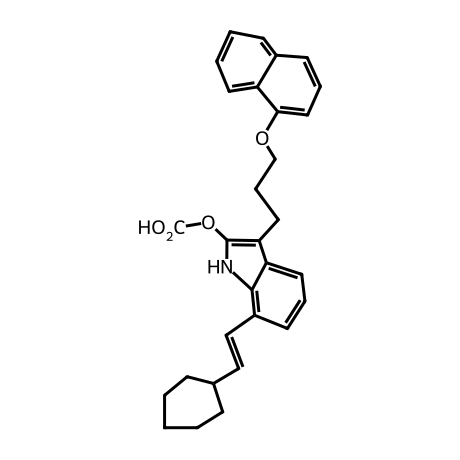 O=C(O)Oc1[nH]c2c(/C=C/C3CCCCC3)cccc2c1CCCOc1cccc2ccccc12